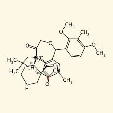 COc1ccc(C2OCC(=O)[N+](CC(C)(C)C)([C@@H]3CCNC[C@@]3(C(C)=O)C(=O)O)c3ccc(C)cc32)c(OC)c1C